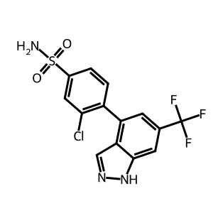 NS(=O)(=O)c1ccc(-c2cc(C(F)(F)F)cc3[nH]ncc23)c(Cl)c1